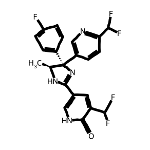 C[C@@H]1NC(c2c[nH]c(=O)c(C(F)F)c2)=N[C@]1(c1ccc(F)cc1)c1ccc(C(F)F)nc1